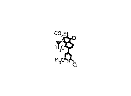 CCOC(=O)c1cn(C2CC2)c2c(C)c(-c3cc(C)nc(CCl)c3)ccc2c1=O